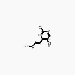 CCCCOC=Cc1nc(Cl)ncc1Cl